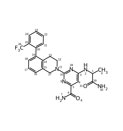 CC(Nc1cc(C(N)=O)nc(N2CCc3c(cccc3-c3ccccc3C(F)(F)F)C2)n1)C(N)=O